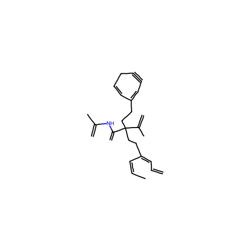 C=C/C=C(\C=C/C)CCC(CCC1=CC#CCC=C1)(C(=C)C)C(=C)NC(=C)C